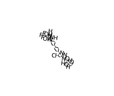 OC(O)(C1=CN(c2ccc(-c3ccc(-c4nc5nc(OC6CO[C@@H]7CCO[C@H]67)[nH]c5cc4Cl)cc3)cc2)NN1)C(F)(F)F